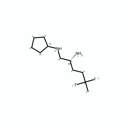 CC(F)(F)CC[C@@H](N)CNC1CCCC1